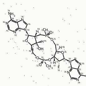 CP1(=O)C[C@@H]2[C@H](O)[C@@H](COP(C)(=O)O[C@H]3[C@@H](F)[C@H](n4cnc5c(N)ncnc54)O[C@@H]3CO1)O[C@H]2n1cnc2c(N)ncnc21